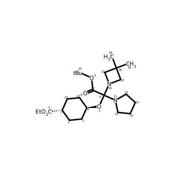 CCOC(=O)[C@H]1CC[C@H](OC(C(=O)OC(C)(C)C)(N2CCCC2)N2CC(C)(C)C2)CC1